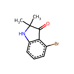 CC1(C)Nc2cccc(Br)c2C1=O